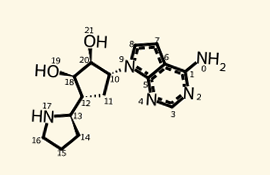 Nc1ncnc2c1ccn2[C@@H]1C[C@H]([C@H]2CCCN2)[C@@H](O)[C@H]1O